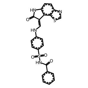 O=C1Nc2ccc3ncsc3c2/C1=C/Nc1ccc(S(=O)(=O)NC(=O)c2ccccc2)cc1